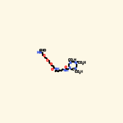 CC(CCCCNC(=O)CN1CCN(CC(=O)O)CCN(CC(=O)O)CCN(CC(=O)O)CC1)NC(=O)CCOCCOCCOCCNC=O